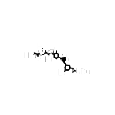 CCCCN(C)Cc1cc(CC)cc(-c2nc(-c3cc(C)c(OCC(O)CNC(=O)CO)c(CC)c3)no2)c1